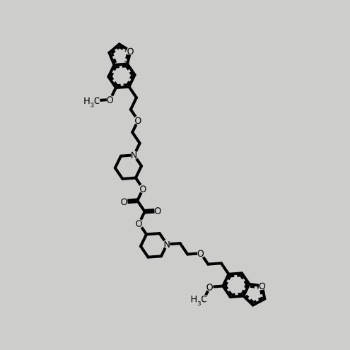 COc1cc2ccoc2cc1CCOCCN1CCCC(OC(=O)C(=O)OC2CCCN(CCOCCc3cc4occc4cc3OC)C2)C1